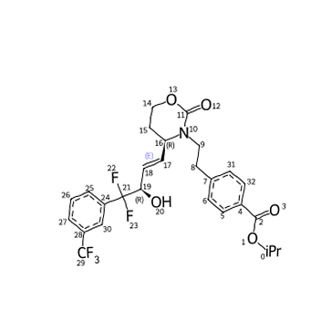 CC(C)OC(=O)c1ccc(CCN2C(=O)OCC[C@@H]2/C=C/[C@@H](O)C(F)(F)c2cccc(C(F)(F)F)c2)cc1